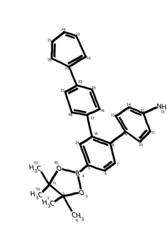 CC1(C)OB(c2ccc(-c3ccc(N)cc3)c(-c3ccc(-c4ccccc4)cc3)c2)OC1(C)C